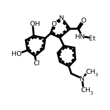 CCNC(=O)c1noc(-c2cc(Cl)c(O)cc2O)c1-c1ccc(CN(C)C)cc1